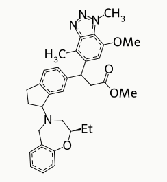 CC[C@@H]1CN(C2CCc3ccc(C(CC(=O)OC)c4cc(OC)c5c(nnn5C)c4C)cc32)Cc2ccccc2O1